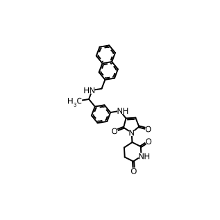 CC(NCc1ccc2ccccc2c1)c1cccc(NC2=CC(=O)N(C3CCC(=O)NC3=O)C2=O)c1